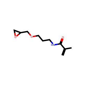 C=C(C)C(=O)NCCCOCC1CO1